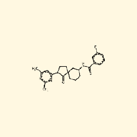 Cc1cc(N2CCC3(CCCC(NC(=O)c4cccc(F)c4)C3)C2=O)nc(C)n1